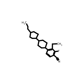 CCCC1CCC(C2CCC(c3ccc(C#N)c(F)c3CC)CC2)CC1